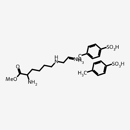 COC(=O)C(N)CCCCNCC=N.Cc1ccc(S(=O)(=O)O)cc1.Cc1ccc(S(=O)(=O)O)cc1